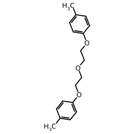 Cc1ccc(OCCOCCOc2ccc(C)cc2)cc1